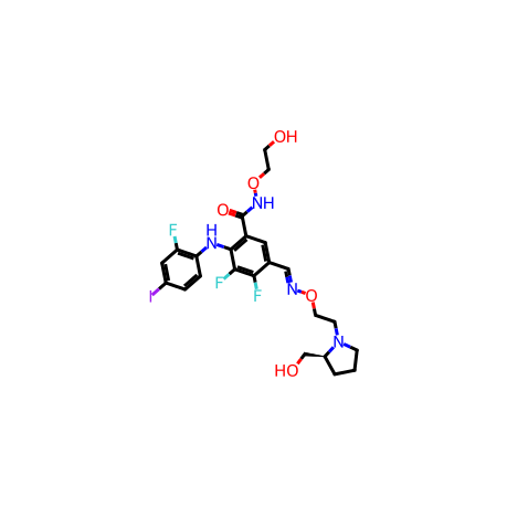 O=C(NOCCO)c1cc(C=NOCCN2CCC[C@H]2CO)c(F)c(F)c1Nc1ccc(I)cc1F